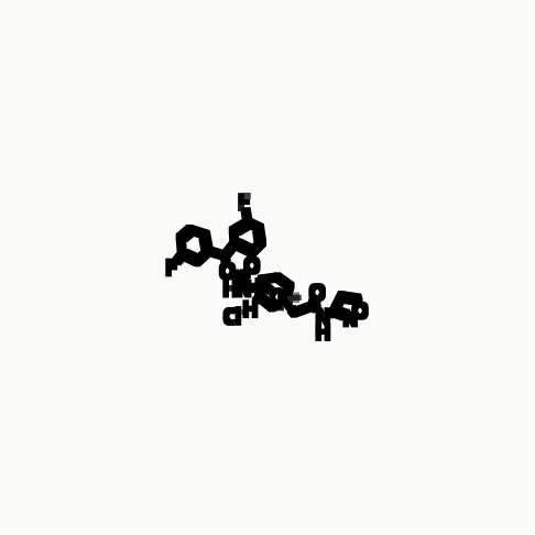 O=C(C[N+]12CCC(CC1)[C@@H](NC(=O)OC(c1cccc(F)c1)c1cccc(F)c1)C2)Nc1ccon1.[Cl-]